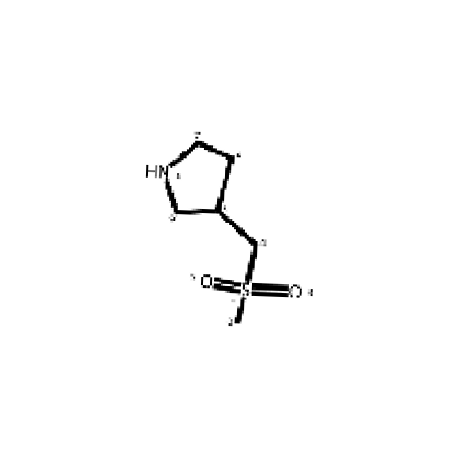 CS(=O)(=O)CC1CCNC1